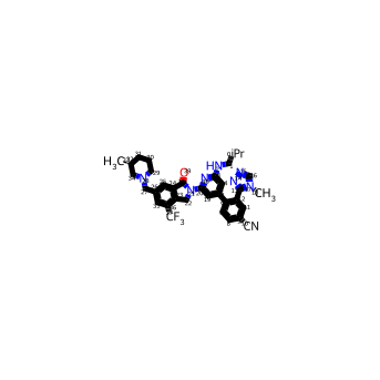 CC(C)CNc1cc(-c2ccc(C#N)cc2-c2nncn2C)cc(N2Cc3c(cc(CN4CCC[C@@H](C)C4)cc3C(F)(F)F)C2=O)n1